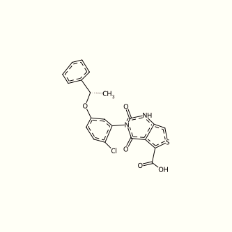 C[C@H](Oc1ccc(Cl)c(-n2c(=O)[nH]c3csc(C(=O)O)c3c2=O)c1)c1ccccc1